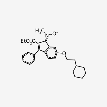 CCOC(=O)C1=C(c2ccccc2)c2ccc(OCCC3CCCCC3)cc2/C1=[N+](/C)[O-]